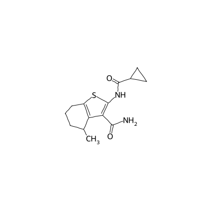 CC1CCCc2sc(NC(=O)C3CC3)c(C(N)=O)c21